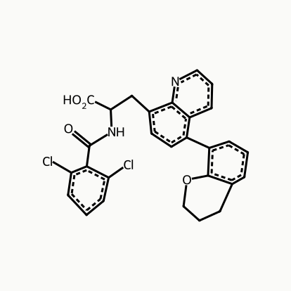 O=C(NC(Cc1ccc(-c2cccc3c2OCCC3)c2cccnc12)C(=O)O)c1c(Cl)cccc1Cl